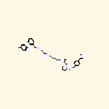 Cc1ncsc1-c1ccc(CNC(=O)[C@@H]2C[C@@H](O)CN2C(=O)[C@@H](NC(=O)CCCCNCCCONC(=O)c2ccc(F)c(F)c2Nc2ccc(I)cc2F)C(C)(C)C)cc1